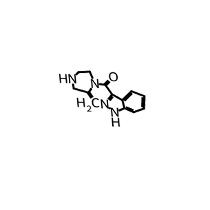 C=C1CNCCN1C(=O)c1n[nH]c2ccccc12